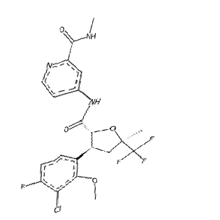 CNC(=O)c1cc(NC(=O)[C@@H]2O[C@@](C)(C(F)(F)F)C[C@H]2c2ccc(F)c(Cl)c2OC)ccn1